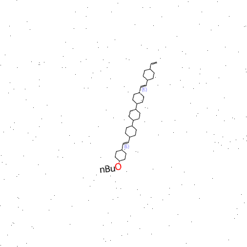 C=CC1CCC(/C=C/C2CCC(C3CCC(C4CCC(/C=C/C5CCC(OCCCC)CC5)CC4)CC3)CC2)CC1